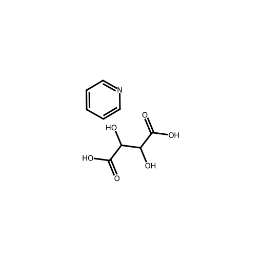 O=C(O)C(O)C(O)C(=O)O.c1ccncc1